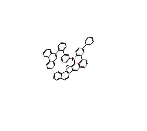 c1ccc(-c2ccc(N(c3cccc(-c4ccccc4-c4cc5ccccc5c5ccccc45)c3)c3cccc4c3sc3c5ccccc5ccc43)c(-c3ccccc3)c2)cc1